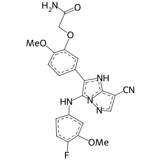 COc1cc(Nc2c(-c3ccc(OC)c(OCC(N)=O)c3)[nH]c3c(C#N)cnn23)ccc1F